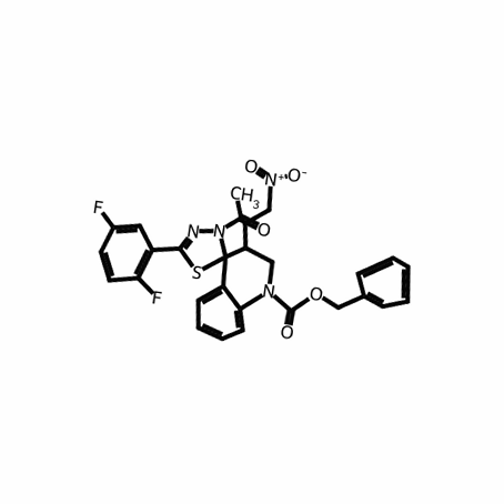 CC(=O)N1N=C(c2cc(F)ccc2F)SC12c1ccccc1N(C(=O)OCc1ccccc1)CC2CC[N+](=O)[O-]